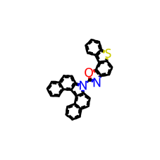 c1ccc2c(c1)ccc1c2c2c3ccccc3ccc2n1-c1nc2ccc3sc4ccccc4c3c2o1